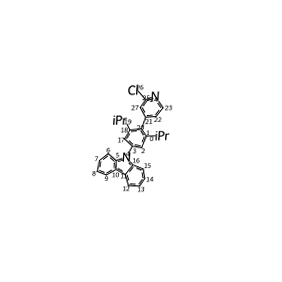 CC(C)c1cc(-n2c3ccccc3c3ccccc32)cc(C(C)C)c1-c1ccnc(Cl)c1